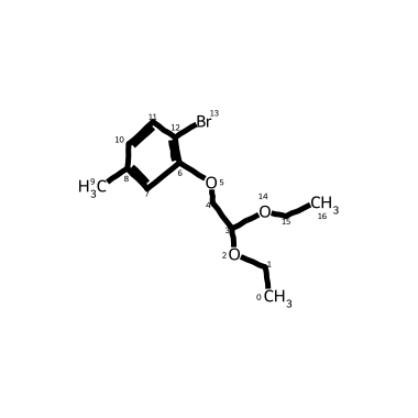 CCOC(COc1cc(C)ccc1Br)OCC